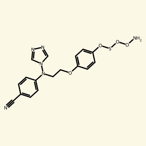 N#Cc1ccc(N(CCOc2ccc(OSOON)cc2)n2cnnc2)cc1